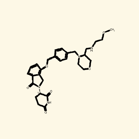 COCCNCC1COCCN1Cc1ccc(COc2cccc3c2CN([C@H]2CCC(=O)NC2=O)C3=O)cc1